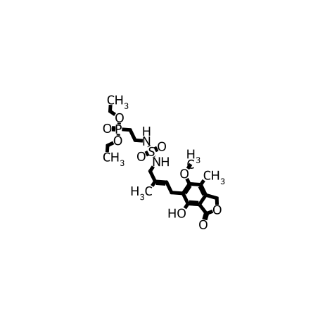 CCOP(=O)(CCNS(=O)(=O)NC/C(C)=C/Cc1c(O)c2c(c(C)c1OC)COC2=O)OCC